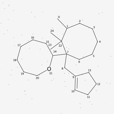 CC1CCCCCC(CC2=CCCC2)(C2CCCCCCO2)C1(C)C